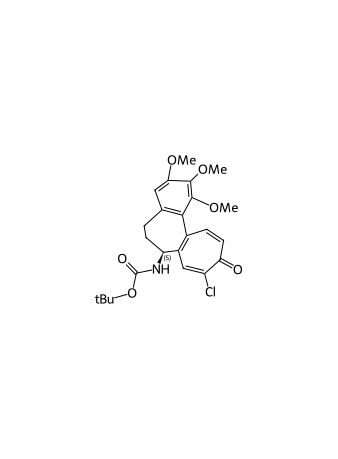 COc1cc2c(c(OC)c1OC)-c1ccc(=O)c(Cl)cc1[C@@H](NC(=O)OC(C)(C)C)CC2